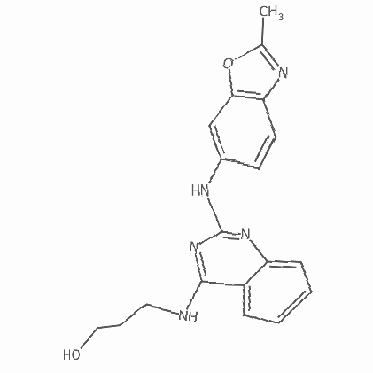 Cc1nc2ccc(Nc3nc(NCCCO)c4ccccc4n3)cc2o1